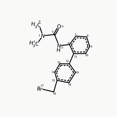 CN(C)C(=O)Nc1ccccc1-c1ccc(CBr)cc1